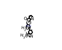 C=C(/C=C(F)\C(=C/C)CN1Cc2ncccc2C1=O)C1CCC2N=CN(C)[C@@H]2C1